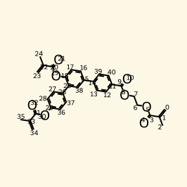 C=C(C)C(=O)OCCOC(=O)c1ccc(-c2ccc(OC(=O)C(=C)C)c(-c3ccc(OC(=O)C(=C)C)cc3)c2)cc1